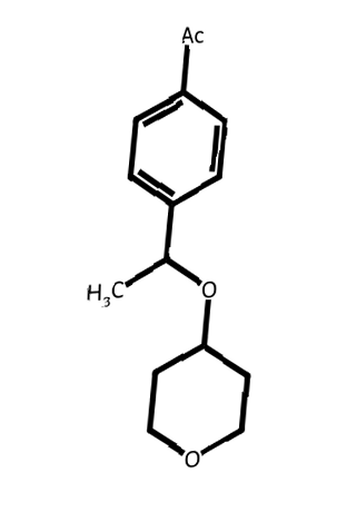 CC(=O)c1ccc(C(C)OC2CCOCC2)cc1